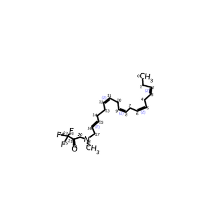 CC/C=C\C/C=C\C/C=C\C/C=C\CC/C=C/CN(C)CC(=O)C(F)(F)F